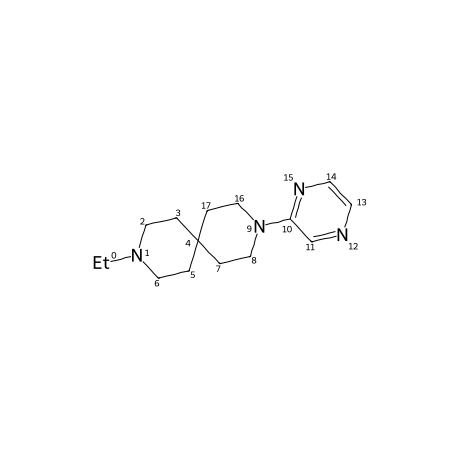 CCN1CCC2(CC1)CCN(c1cnccn1)CC2